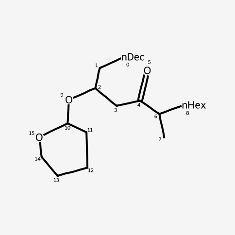 CCCCCCCCCCCC(CC(=O)C(C)CCCCCC)OC1CCCCO1